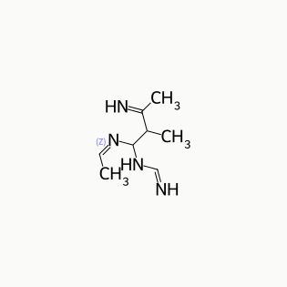 C/C=N\C(NC=N)C(C)C(C)=N